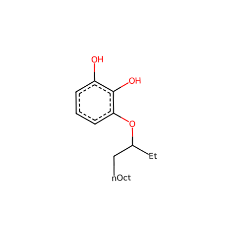 CCCCCCCCCC(CC)Oc1cccc(O)c1O